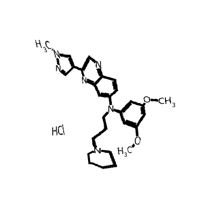 COc1cc(OC)cc(N(CCCN2CCCCC2)c2ccc3ncc(-c4cnn(C)c4)nc3c2)c1.Cl